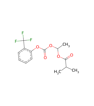 CC(OC(=O)Oc1ccccc1C(F)(F)F)OC(=O)C(C)C